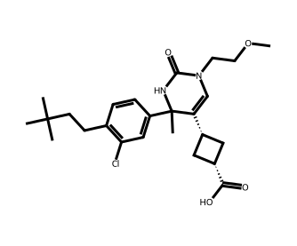 COCCN1C=C([C@H]2C[C@@H](C(=O)O)C2)C(C)(c2ccc(CCC(C)(C)C)c(Cl)c2)NC1=O